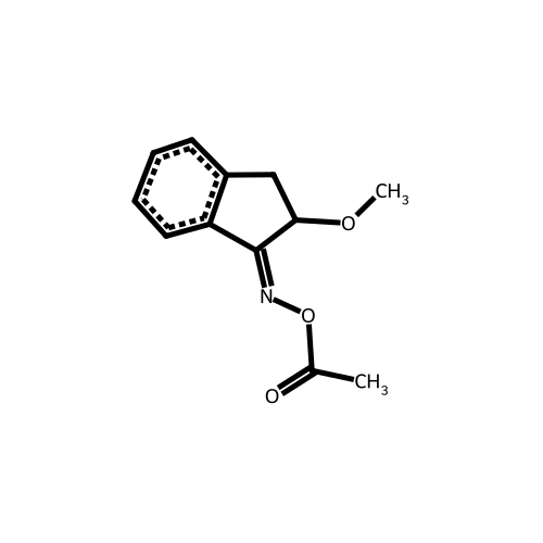 COC1Cc2ccccc2C1=NOC(C)=O